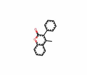 Cc1c(-c2ccccc2)c(=O)oc2ccccc12